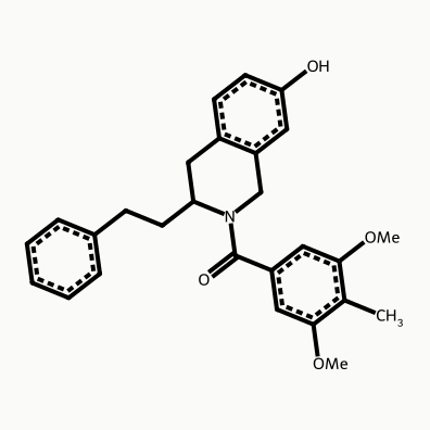 COc1cc(C(=O)N2Cc3cc(O)ccc3CC2CCc2ccccc2)cc(OC)c1C